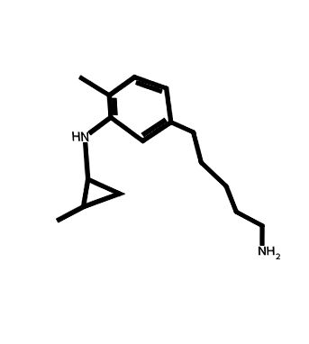 Cc1ccc(CCCCCN)cc1NC1CC1C